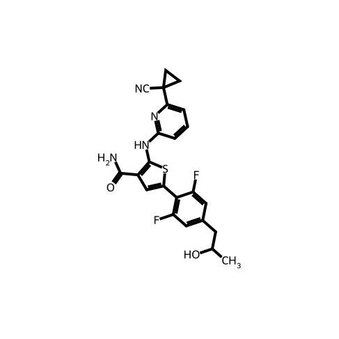 CC(O)Cc1cc(F)c(-c2cc(C(N)=O)c(Nc3cccc(C4(C#N)CC4)n3)s2)c(F)c1